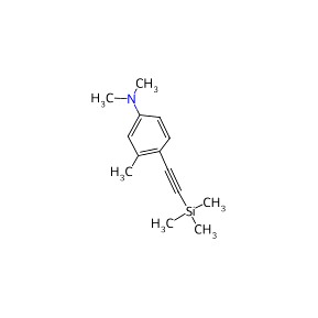 Cc1cc(N(C)C)ccc1C#C[Si](C)(C)C